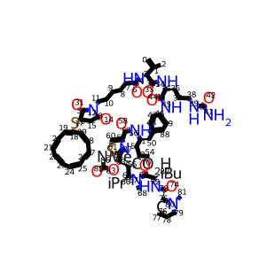 C=C(C)[C@H](NC(=O)CCCCCN1C(=O)CC(SC2=C/C=C\C=C/C=C\C=C/C=C\2)C1=O)C(=O)N[C@@H](CCCNC(N)=O)C(=O)Nc1ccc(C[C@@H](C[C@H](C)C(=O)O)NC(=O)c2csc([C@@H](C[C@H](C(C)C)N(C)C(=O)[C@@H](NC(=O)[C@H]3CCCCN3C)[C@@H](C)CC)OC(=O)NC)n2)cc1